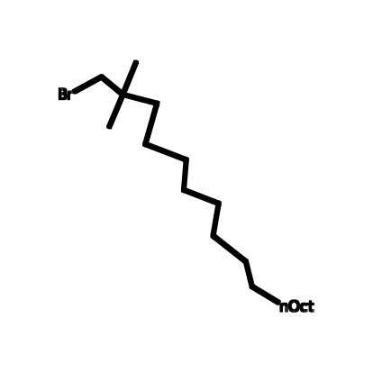 CCCCCCCCCCCCCCCCC(C)(C)CBr